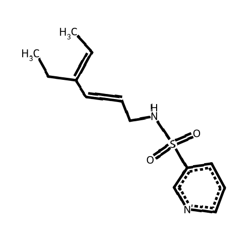 CC=C(C=CCNS(=O)(=O)c1cccnc1)CC